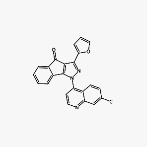 O=C1c2ccccc2-c2c1c(-c1ccco1)nn2-c1ccnc2cc(Cl)ccc12